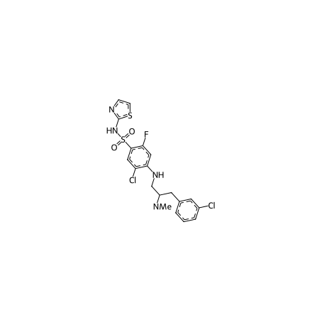 CNC(CNc1cc(F)c(S(=O)(=O)Nc2nccs2)cc1Cl)Cc1cccc(Cl)c1